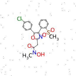 CN(O)C(=O)Cc1nc(-c2ccccc2S(C)(=O)=O)c(-c2ccc(Cl)cc2)o1